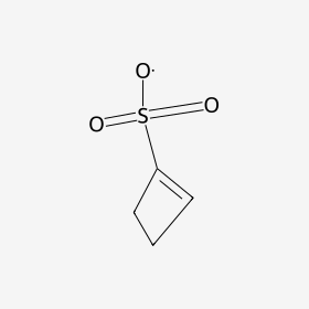 [O]S(=O)(=O)C1=CCC1